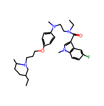 CCC1CCC(C)N(CCCOc2ccc(N(C)CCN(CC)C(=O)c3cn(C)c4ccc(F)cc34)cc2)C1